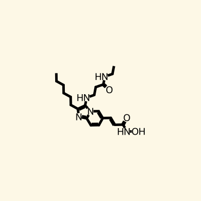 CCCCCCc1nc2ccc(C=CC(=O)NO)cn2c1NCCC(=O)NCC